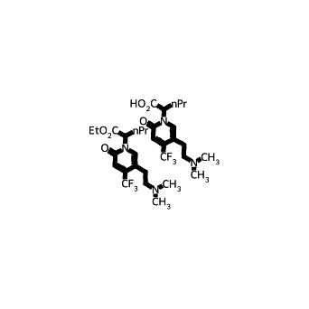 CCCC(C(=O)O)n1cc(CCN(C)C)c(C(F)(F)F)cc1=O.CCCC(C(=O)OCC)n1cc(CCN(C)C)c(C(F)(F)F)cc1=O